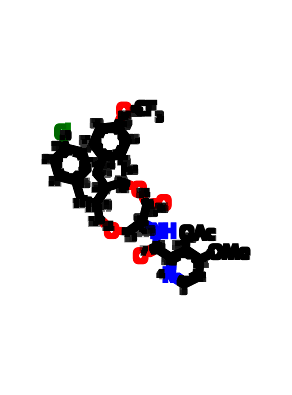 COc1ccnc(C(=O)N[C@H]2COC[C@H](Cc3ccc(Cl)cc3)[C@@H](Cc3ccc(OC(F)(F)F)cc3)[C@H](C)OC2=O)c1OC(C)=O